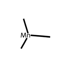 [CH3][Mn]([CH3])[CH3]